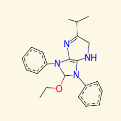 CCOC1N(c2ccccc2)C2=C(NCC(C(C)C)=N2)N1c1ccccc1